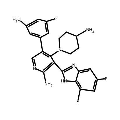 Cc1cc(F)cc(-c2cnc(N)c(-c3nc4cc(F)cc(F)c4[nH]3)c2N2CCC(N)CC2)c1